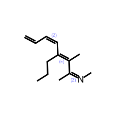 C=C\C=C/C(CCC)=C(C)/C(C)=N\C